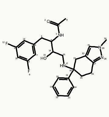 CC(=O)NC(Cc1cc(F)cc(F)c1)C(O)CNC1(c2ccccc2)CCc2nn(C)cc2C1